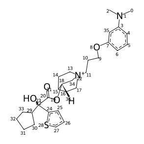 CN(C)c1cccc(OCCC[N+]23CCC(CC2)[C@@H](OC(=O)[C@](O)(c2cccs2)C2CCCC2)C3)c1